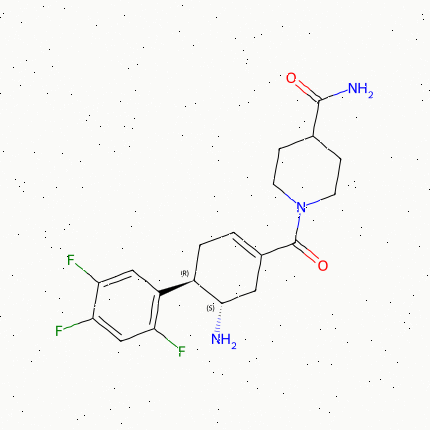 NC(=O)C1CCN(C(=O)C2=CC[C@H](c3cc(F)c(F)cc3F)[C@@H](N)C2)CC1